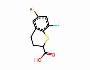 O=C(O)C1CCc2cc(Br)cc(F)c2S1